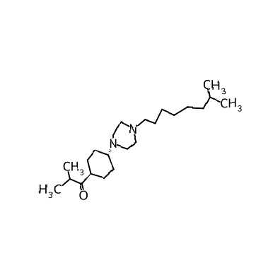 CC(C)CCCCCCN1CCN([C@H]2CC[C@H](C(=O)C(C)C)CC2)CC1